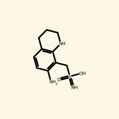 N=S(=O)(O)Cc1c(N)ccc2c1NCCC2